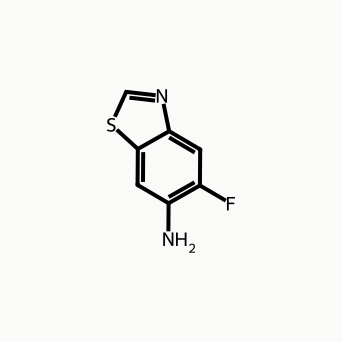 Nc1cc2scnc2cc1F